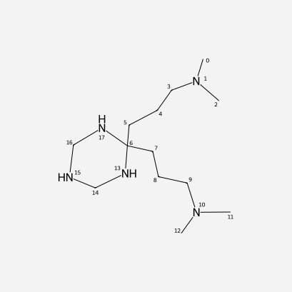 CN(C)CCCC1(CCCN(C)C)NCNCN1